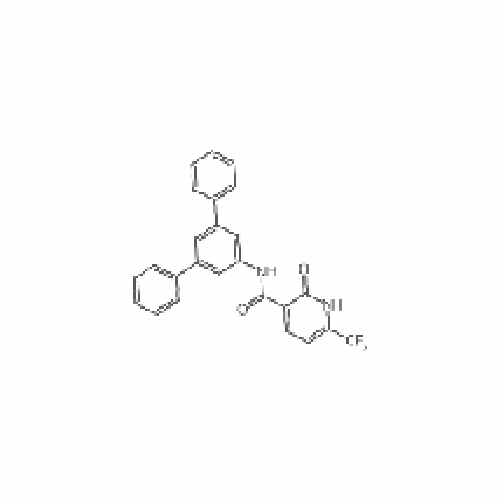 O=C(Nc1cc(-c2ccccc2)cc(-c2ccccc2)c1)c1ccc(C(F)(F)F)[nH]c1=O